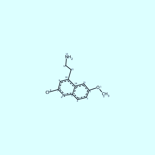 COc1ccc2nc(Cl)cc(CCN)c2c1